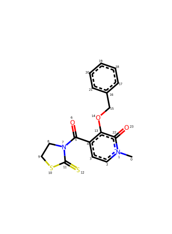 Cn1ccc(C(=O)N2CCSC2=S)c(OCc2ccccc2)c1=O